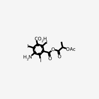 CC(=O)OC(C)C(=O)OC(=O)c1c(I)c(N)c(I)c(C(=O)O)c1I